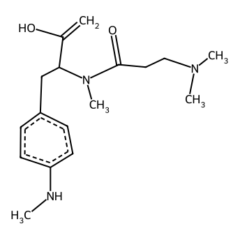 C=C(O)C(Cc1ccc(NC)cc1)N(C)C(=O)CCN(C)C